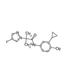 CC(C)(C(=O)Nc1ccc(C#N)c(C2CC2)c1)n1cc(I)cn1